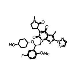 COc1ccc(F)cc1[C@H](Cn1c(=O)n([C@H]2CCN(C)C2=O)c(=O)c2c(C)c(-n3nccn3)sc21)O[C@H]1CC[C@H](O)CC1